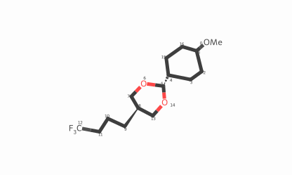 COC1CCC([C@H]2OC[C@H](CCCC(F)(F)F)CO2)CC1